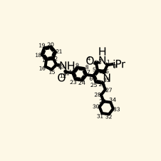 CC(C)C1NC(=O)c2c(-c3ccc(C(=O)NC4CCc5ccccc54)cc3)cc(CCC3CCCCC3)nc21